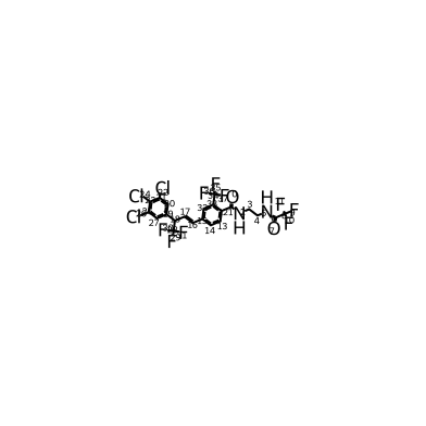 O=C(NCCNC(=O)C(F)(F)F)c1ccc(/C=C/C(c2cc(Cl)c(Cl)c(Cl)c2)C(F)(F)F)cc1C(F)(F)F